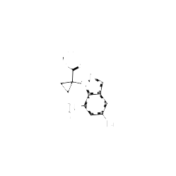 COC(=O)C1(n2ncc3cc(Br)cc([N+](=O)[O-])c32)CC1